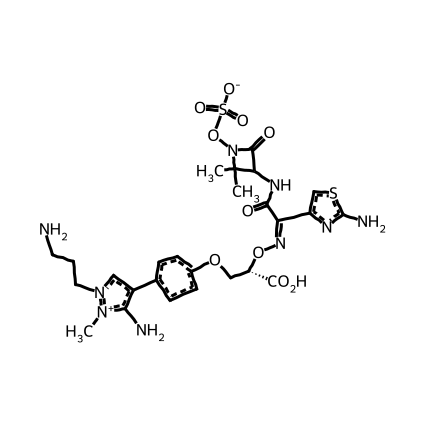 C[n+]1c(N)c(-c2ccc(OC[C@H](O/N=C(\C(=O)NC3C(=O)N(OS(=O)(=O)[O-])C3(C)C)c3csc(N)n3)C(=O)O)cc2)cn1CCCN